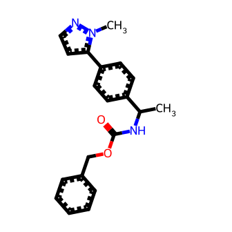 CC(NC(=O)OCc1ccccc1)c1ccc(-c2ccnn2C)cc1